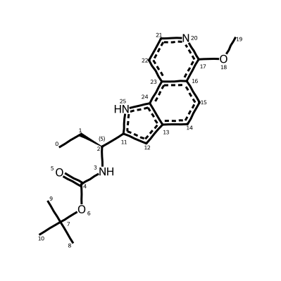 CC[C@H](NC(=O)OC(C)(C)C)c1cc2ccc3c(OC)nccc3c2[nH]1